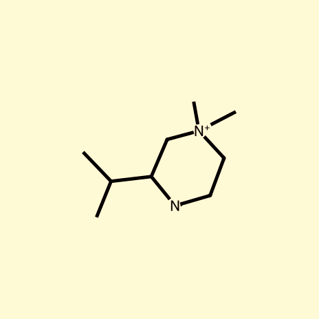 CC(C)C1C[N+](C)(C)CC[N]1